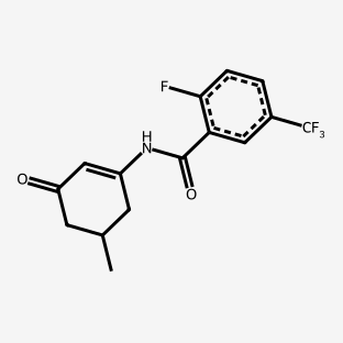 CC1CC(=O)C=C(NC(=O)c2cc(C(F)(F)F)ccc2F)C1